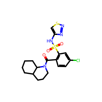 O=C(c1ccc(Cl)cc1S(=O)(=O)Nc1csnn1)N1CCCC2CCCCC21